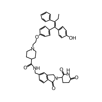 CCC(=C(c1ccc(O)cc1)c1ccc(OCCN2CCC(C(=O)NCc3ccc4c(c3)CN(C3CCC(=O)NC3=O)C4=O)CC2)cc1)c1ccccc1